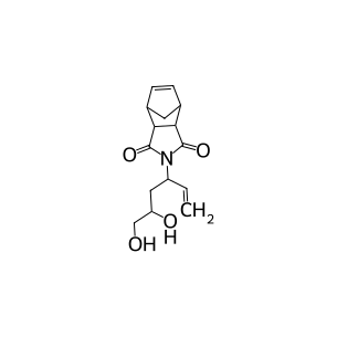 C=CC(CC(O)CO)N1C(=O)C2C3C=CC(C3)C2C1=O